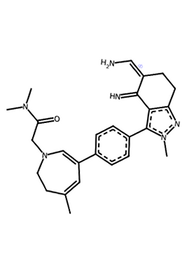 CC1=CC(c2ccc(-c3c4c(nn3C)CC/C(=C/N)C4=N)cc2)=CN(CC(=O)N(C)C)CC1